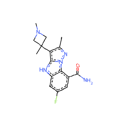 Cc1nn2c([nH]c3cc(F)cc(C(N)=O)c32)c1C1(C)CN(C)C1